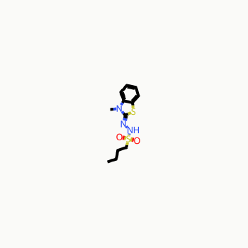 CCCCS(=O)(=O)N/N=c1\sc2ccccc2n1C